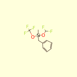 C[Si](Cc1ccccc1)(OC(F)F)OC(F)(F)F